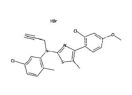 Br.C#CCN(c1nc(-c2ccc(OC)cc2Cl)c(C)s1)c1cc(Cl)ccc1C